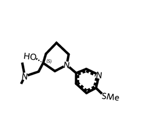 CSc1ccc(N2CCC[C@](O)(CN(C)C)C2)cn1